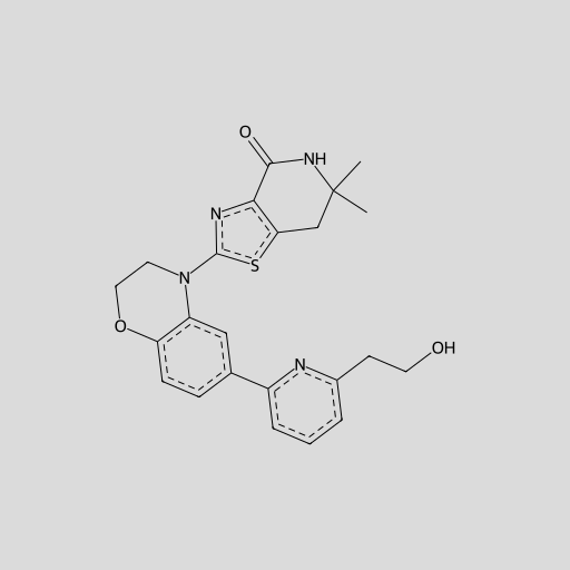 CC1(C)Cc2sc(N3CCOc4ccc(-c5cccc(CCO)n5)cc43)nc2C(=O)N1